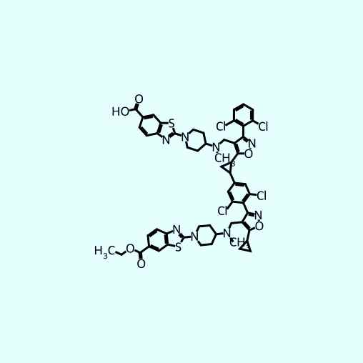 CCOC(=O)c1ccc2nc(N3CCC(N(C)Cc4c(-c5c(Cl)cc(C6CC6c6onc(-c7c(Cl)cccc7Cl)c6CN(C)C6CCN(c7nc8ccc(C(=O)O)cc8s7)CC6)cc5Cl)noc4C4CC4)CC3)sc2c1